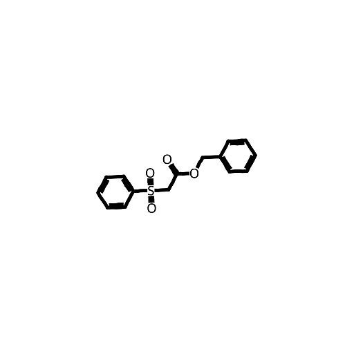 O=C(CS(=O)(=O)c1ccccc1)OCc1ccccc1